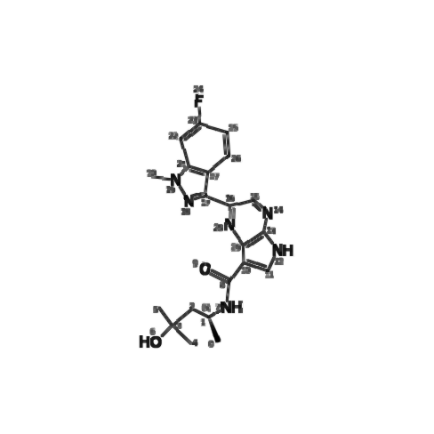 C[C@@H](CC(C)(C)O)NC(=O)c1c[nH]c2ncc(-c3nn(C)c4cc(F)ccc34)nc12